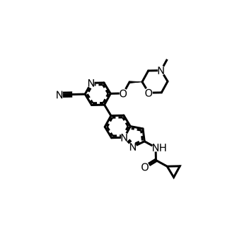 CN1CCO[C@@H](COc2cnc(C#N)cc2-c2ccn3nc(NC(=O)C4CC4)cc3c2)C1